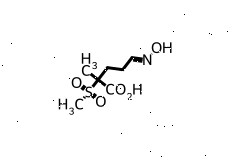 CC(CC/C=N/O)(C(=O)O)S(C)(=O)=O